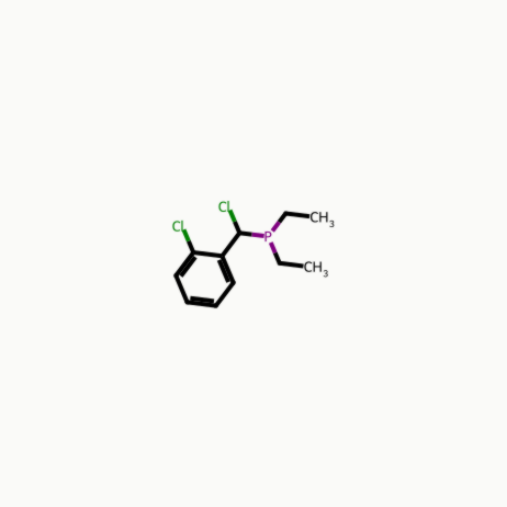 CCP(CC)C(Cl)c1ccccc1Cl